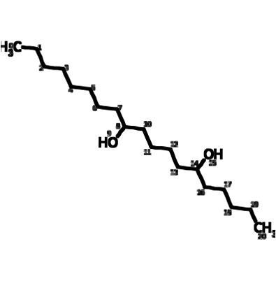 CCCCCCCCC(O)CCCCC(O)CCCCC